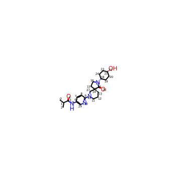 CC(C)C(=O)Nc1ccc(N2CCC[C@]3(CCN([C@H]4CC[C@H](O)CC4)C3=O)C2)nc1